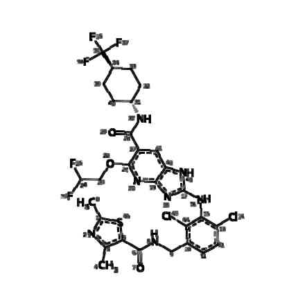 Cc1nc(C)c(C(=O)NCc2ccc(Cl)c(Nc3nc4nc(OCC(F)F)c(C(=O)N[C@H]5CC[C@H](C(F)(F)F)CC5)cc4[nH]3)c2Cl)s1